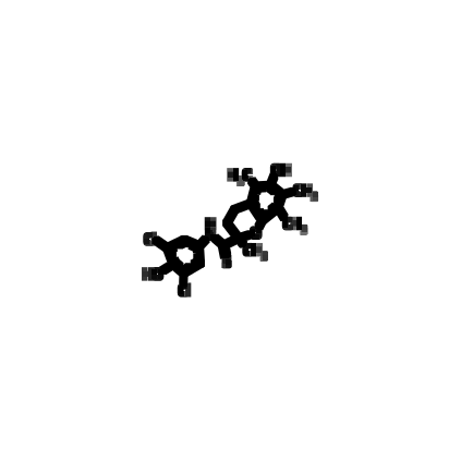 Cc1c(C)c2c(c(C)c1O)CCC(C)(C(=S)Nc1cc(Cl)c(O)c(Cl)c1)O2